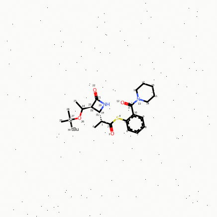 CC(C(=O)Sc1ccccc1C(=O)N1CCCCC1)[C@H]1NC(=O)[C@@H]1C(C)O[Si](C)(C)C(C)(C)C